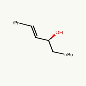 CCCCC[C@H](O)/C=C/C(C)C